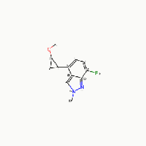 COC1CC1c1ccc(F)c2nn(C)cc12